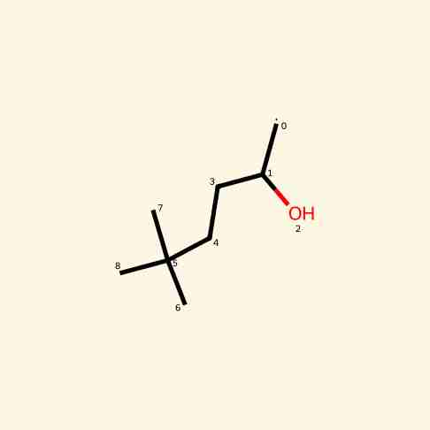 [CH2]C(O)CCC(C)(C)C